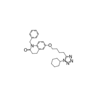 O=C1CCc2cc(OCCCCc3nnnn3C3CCCCC3)ccc2N1Cc1ccccc1